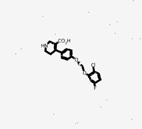 O=C(O)C1=C(c2ccc(OCCOc3cc(F)ccc3Cl)cc2)CCNC1